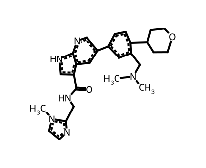 CN(C)Cc1cc(-c2cnc3[nH]cc(C(=O)NCc4nccn4C)c3c2)ccc1C1CCOCC1